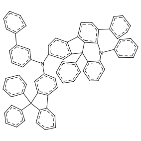 c1ccc(-c2cccc(N(c3ccc4c(c3)C(c3ccccc3)(c3ccccc3)c3ccccc3-4)c3ccc4c(c3)C3(c5ccccc5)c5ccccc5N(c5ccccc5)c5c(-c6ccccc6)ccc-4c53)c2)cc1